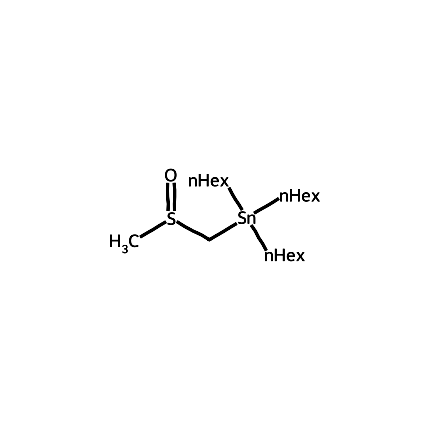 CCCCC[CH2][Sn]([CH2]CCCCC)([CH2]CCCCC)[CH2]S(C)=O